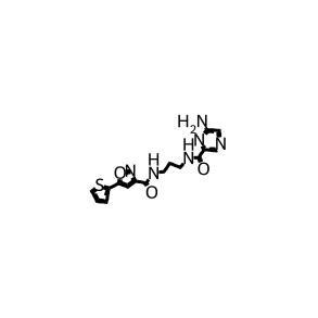 Nc1cncc(C(=O)NCCCNC(=O)c2cc(-c3cccs3)on2)n1